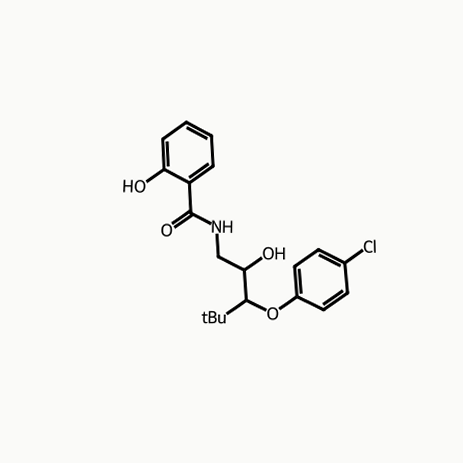 CC(C)(C)C(Oc1ccc(Cl)cc1)C(O)CNC(=O)c1ccccc1O